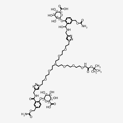 CC(C)(C)OC(=O)NOCCOCCOCCN(CCOCCOCCn1cc(CNC(=O)c2cc(COC(N)=O)ccc2O[C@@H]2O[C@H](C(=O)O)[C@@H](O)[C@H](O)[C@H]2O)nn1)CCOCCOCCn1cc(CNC(O)c2cc(COC(N)=O)ccc2O[C@@H]2O[C@H](C(=O)O)[C@@H](O)[C@H](O)[C@H]2O)nn1